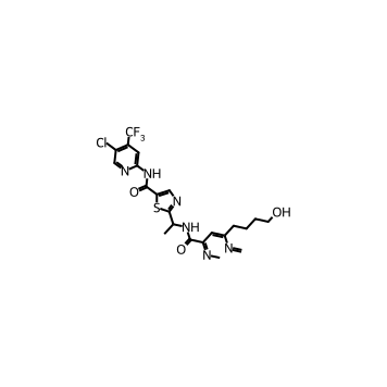 C=N/C(=C\C(=N/C)C(=O)NC(C)c1ncc(C(=O)Nc2cc(C(F)(F)F)c(Cl)cn2)s1)CCCCO